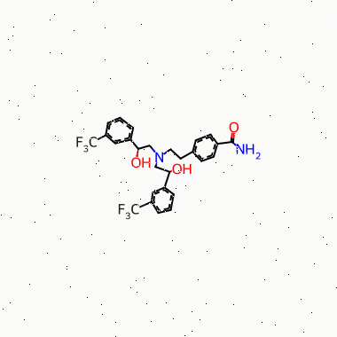 NC(=O)c1ccc(CCN(C[C@@H](O)c2cccc(C(F)(F)F)c2)C[C@@H](O)c2cccc(C(F)(F)F)c2)cc1